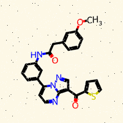 COc1cccc(CC(=O)Nc2cccc(-c3ccnc4c(C(=O)c5cccs5)cnn34)c2)c1